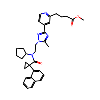 COC(=O)CCCc1cc(-c2nc(C)n(CCN(C(=O)C3(c4cccc5ccccc45)CC3)C3CCCC3)n2)ccn1